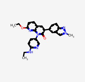 CCNc1ccc(-n2c(=O)c(-c3ccc4nn(C)cc4c3)cc3ccc(OCC)nc32)cn1